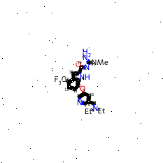 CCN(CC)Cc1cncc(Oc2ccc(C(F)(F)F)c3cc(C(=O)N=C(N)NC)[nH]c23)c1